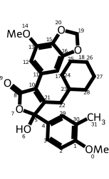 COc1ccc(C2(O)OC(=O)C(c3cc(OC)c4c(c3)OCO4)=C2CC2CCCCC2)cc1C